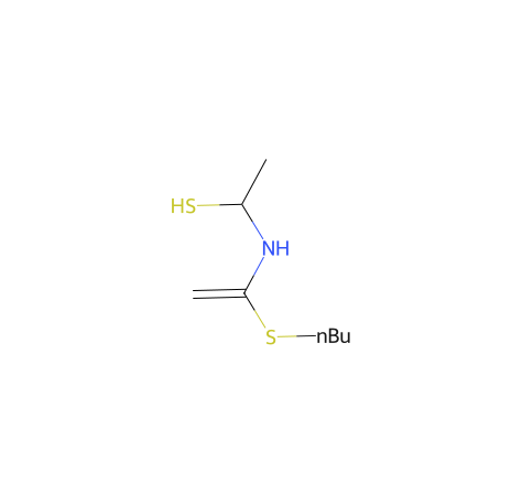 C=C(NC(C)S)SCCCC